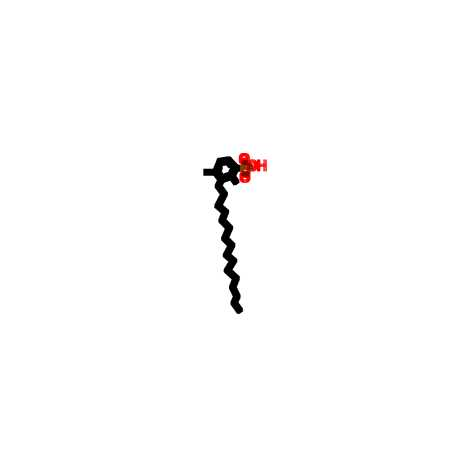 CCCCCCCCCCCCCCCCc1c(C)ccc(S(=O)(=O)O)c1C